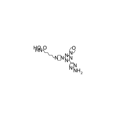 Nc1ncc(-c2nc(N3CCOCC3)nc(N3CCN(CCCCCC(=O)NO)CC3)n2)cn1